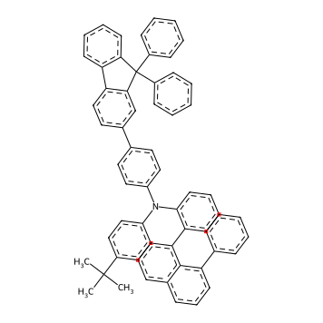 CC(C)(C)c1ccc(N(c2ccc(-c3ccc4c(c3)C(c3ccccc3)(c3ccccc3)c3ccccc3-4)cc2)c2ccccc2-c2cccc3cccc(-c4ccccc4)c23)cc1